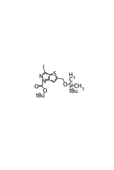 CC(C)(C)OC(=O)n1nc(I)c2sc(CO[Si](C)(C)C(C)(C)C)cc21